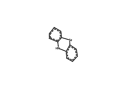 [c]1cccc2c1Nc1ccccc1[Se]2